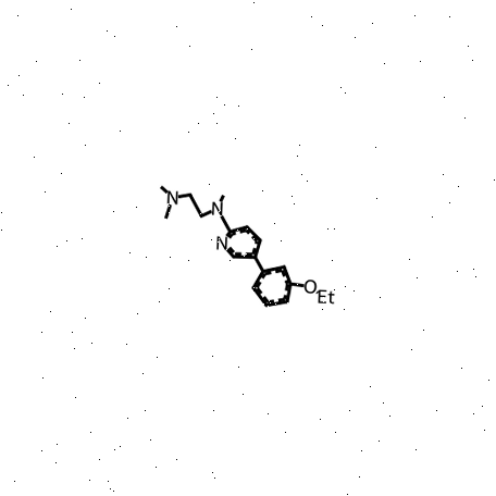 CCOc1cccc(-c2ccc(N(C)CCN(C)C)nc2)c1